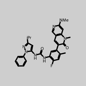 CNc1cc2c(cn1)cc(-c1cc(NC(=O)Nc3cc(C(C)C)nn3-c3ccccc3)c(F)cc1C)c(=O)n2C